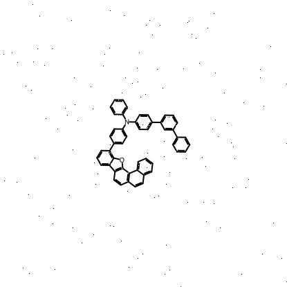 c1ccc(-c2cccc(-c3ccc(N(c4ccccc4)c4ccc(-c5cccc6c5oc5c6ccc6ccc7ccccc7c65)cc4)cc3)c2)cc1